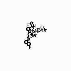 Cc1nn2c(c1-c1c(F)ccc3c(CCCOc4cccc5cc(F)ccc45)c(C(=O)OC(C)(C)C)n(CCN4CCN(C(=O)OC(C)(C)C)CC4)c13)CCC2